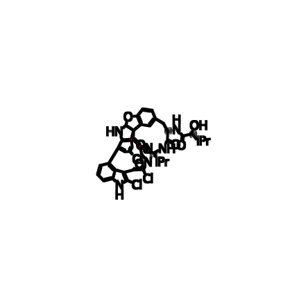 CC(C)[C@H](O)C(=O)N[C@H]1Cc2ccc3c(c2)C24c5cc(Cl)cc(c5NC2O3)-c2cccc3[nH]c(Cl)c(c23)-c2oc(nc2Cl)-c2nc(oc24)[C@H](C(C)C)NC1=O